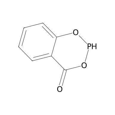 O=C1OPOc2ccccc21